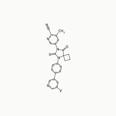 Cc1cc(N2C(=O)C3(CCC3)N(c3ccc(-c4cncc(F)c4)cc3)C2=S)cnc1C#N